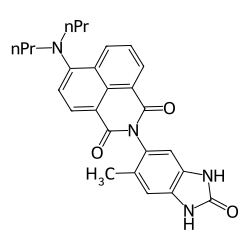 CCCN(CCC)c1ccc2c3c(cccc13)C(=O)N(c1cc3[nH]c(=O)[nH]c3cc1C)C2=O